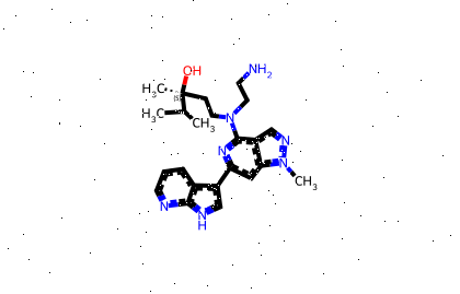 CC(C)[C@@](C)(O)CCN(CCN)c1nc(-c2c[nH]c3ncccc23)cc2c1cnn2C